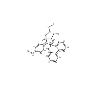 CCCCC(C)(CCC)C(c1ccc(OC)cc1)P1(=O)Oc2ccccc2-c2ccccc21